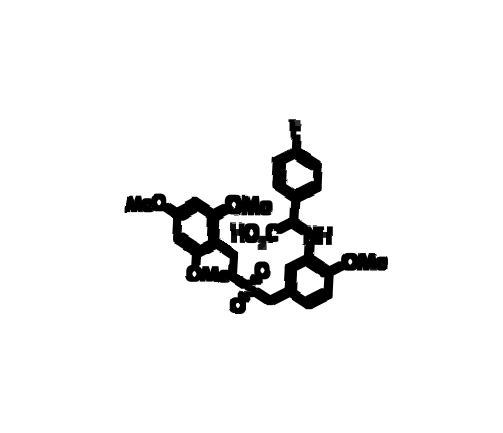 COc1cc(OC)c(CCS(=O)(=O)Cc2ccc(OC)c(NC(C(=O)O)c3ccc(F)cc3)c2)c(OC)c1